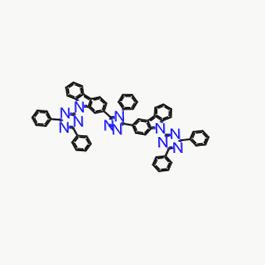 c1ccc(-c2nc(-c3ccccc3)nc(-n3c4ccccc4c4cc(-c5nnc(-c6ccc7c8ccccc8n(-c8nc(-c9ccccc9)nc(-c9ccccc9)n8)c7c6)n5-c5ccccc5)ccc43)n2)cc1